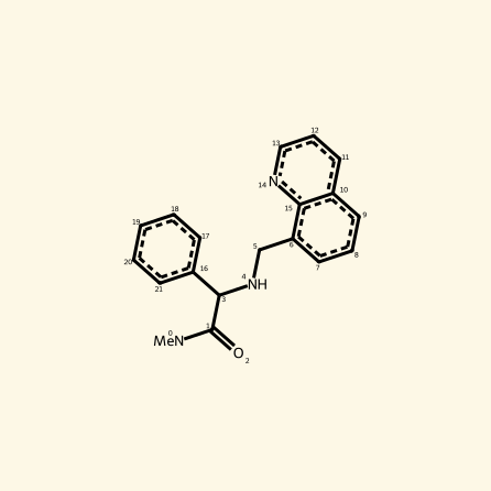 CNC(=O)C(NCc1cccc2cccnc12)c1ccccc1